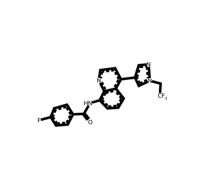 O=C(Nc1cccc2c(-c3cnn(CC(F)(F)F)c3)ccnc12)c1ccc(F)cc1